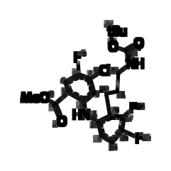 COC(=O)c1cc(F)c(Cl)cc1Nc1ccc(F)c(F)c1CCCNC(=O)OC(C)(C)C